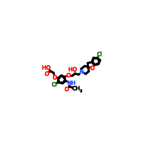 CC(=O)Nc1cc(Cl)c(OCC(=O)O)cc1OC[C@H](O)CN1CCC2(CC1)Cc1cc(Cl)ccc1O2